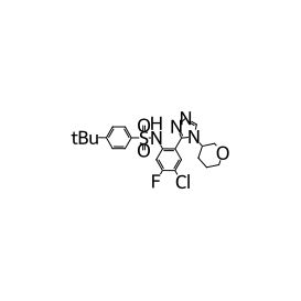 CC(C)(C)c1ccc(S(=O)(=O)Nc2cc(F)c(Cl)cc2-c2nncn2C2CCCOC2)cc1